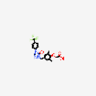 Cc1cc(Cn2ncn(-c3ccc(C(F)(F)F)cc3)c2=O)cc(C)c1OCC(=O)O